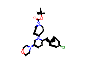 CC(C)(C)OC(=O)N1CCC(N2CC(N3CCOCC3)CCC2Cc2ccc(Cl)cc2)CC1